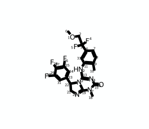 COCC(F)(F)c1ccc(C)c(NC2=NC(=O)N(C)C3=NCC(c4cc(F)c(F)c(F)c4)N23)c1